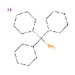 I.PC(C1CCCCC1)(C1CCCCC1)C1CCCCC1